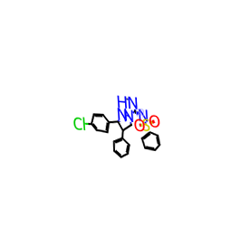 CN/C(=N/S(=O)(=O)c1ccccc1)N1CC(c2ccccc2)C(c2ccc(Cl)cc2)=N1